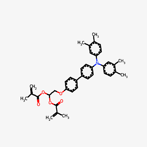 C=C(C)C(=O)OC(COc1ccc(-c2ccc(N(c3ccc(C)c(C)c3)c3ccc(C)c(C)c3)cc2)cc1)OC(=O)C(=C)C